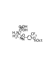 CCCCCCCCOc1ccc(-c2nnc(C(C)(N)COP(=O)(O)O)o2)cc1C(F)(F)F